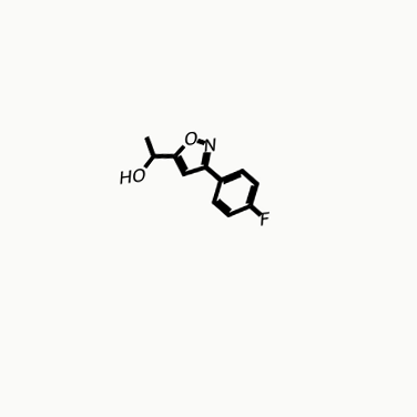 CC(O)c1cc(-c2ccc(F)cc2)no1